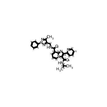 Cc1nn(-c2ccccc2)nc1CNC(=O)c1cccn2c(C(=O)NC(C)C)c(-c3ccccn3)nc12